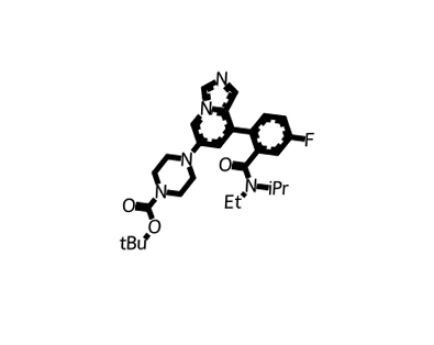 CCN(C(=O)c1cc(F)ccc1-c1cc(N2CCN(C(=O)OC(C)(C)C)CC2)cn2cncc12)C(C)C